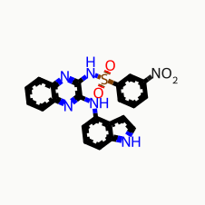 O=[N+]([O-])c1cccc(S(=O)(=O)Nc2nc3ccccc3nc2Nc2cccc3[nH]ccc23)c1